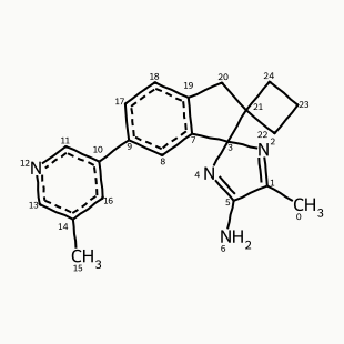 CC1=NC2(N=C1N)c1cc(-c3cncc(C)c3)ccc1CC21CCC1